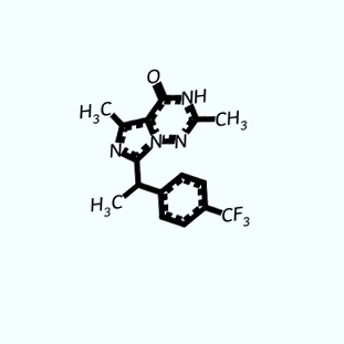 Cc1nn2c(C(C)c3ccc(C(F)(F)F)cc3)nc(C)c2c(=O)[nH]1